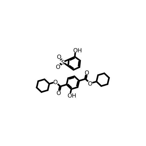 O=C(OC1CCCCC1)c1ccc(C(=O)OC2CCCCC2)c(O)c1.O=S1(=O)c2cccc(O)c21